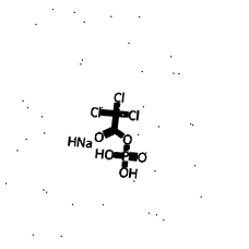 O=C(OP(=O)(O)O)C(Cl)(Cl)Cl.[NaH]